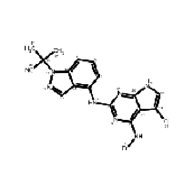 CCNc1nc(Nc2cccc3c2cnn3C(C)(C)C#N)nc2[nH]cc(Cl)c12